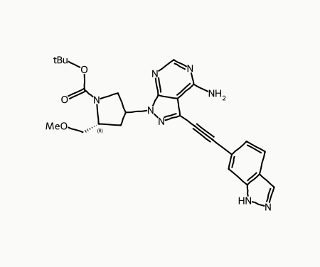 COC[C@H]1CC(n2nc(C#Cc3ccc4cn[nH]c4c3)c3c(N)ncnc32)CN1C(=O)OC(C)(C)C